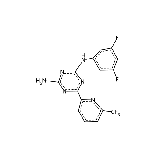 Nc1nc(Nc2cc(F)cc(F)c2)nc(-c2cccc(C(F)(F)F)n2)n1